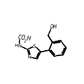 O=C(O)Nc1ncc(-c2ccccc2CO)s1